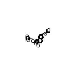 O=c1nc(OC[C@@H]2COCCO2)cc2n1CCc1cc(COC3COC3)ccc1-2